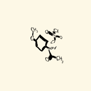 COc1ccc(NC(C)=O)cc1.O=S(=O)(Cl)Cl